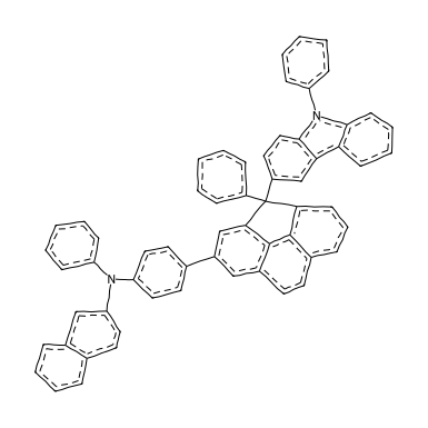 c1ccc(N(c2ccc(-c3cc4c5c(ccc6cccc(c65)C4(c4ccccc4)c4ccc5c(c4)c4ccccc4n5-c4ccccc4)c3)cc2)c2ccc3ccccc3c2)cc1